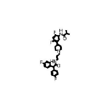 CC(C)C(=O)Nc1cc(C2CCN(CCCNC(=O)C(c3ccc(F)cc3)c3ccc(F)cc3)CC2)c(F)cc1F